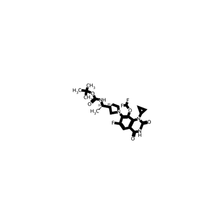 C[C@H](NC(=O)OC(C)(C)C)[C@@H]1CCN(c2c(F)cc3c(=O)[nH]c(=O)n(C4CC4)c3c2OC(F)F)C1